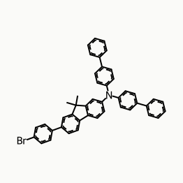 CC1(C)c2cc(-c3ccc(Br)cc3)ccc2-c2ccc(N(c3ccc(-c4ccccc4)cc3)c3ccc(-c4ccccc4)cc3)cc21